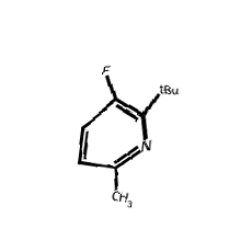 Cc1ccc(F)c(C(C)(C)C)n1